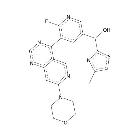 Cc1csc(C(O)c2cnc(F)c(-c3ncnc4cc(N5CCOCC5)ncc34)c2)n1